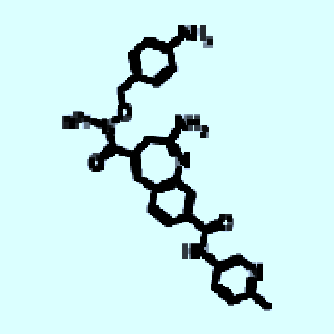 CCCN(OCc1ccc(N)cc1)C(=O)C1=Cc2ccc(C(=O)Nc3ccc(C)nc3)cc2N=C(N)C1